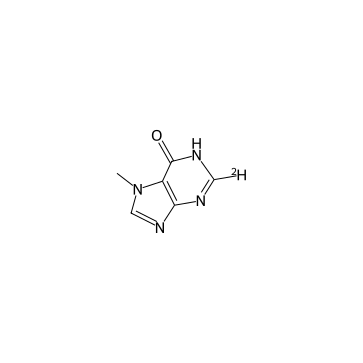 [2H]c1nc2ncn(C)c2c(=O)[nH]1